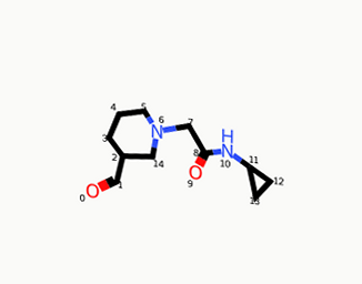 O=CC1CCCN(CC(=O)NC2CC2)C1